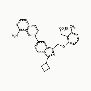 CCOC(=O)Cc1c(C)cccc1OCc1nn(C2CCC2)c2ccc(-c3ccc4ccnc(N)c4c3)cc12